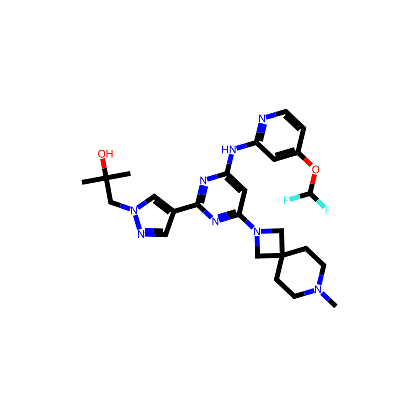 CN1CCC2(CC1)CN(c1cc(Nc3cc(OC(F)F)ccn3)nc(-c3cnn(CC(C)(C)O)c3)n1)C2